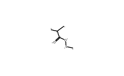 CSOC(=O)C(C)C